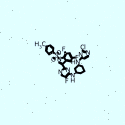 Cc1ccc(S(=O)(=O)n2cc(-c3ncc(F)c(N[C@@H]4CCC[C@H](Nc5ccnc(Cl)n5)C4)n3)c3cc(F)cc(F)c32)cc1